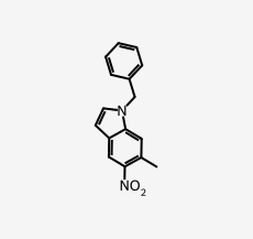 Cc1cc2c(ccn2Cc2ccccc2)cc1[N+](=O)[O-]